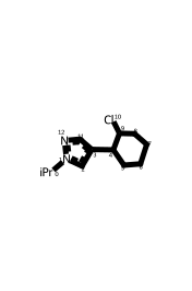 CC(C)n1cc(C2CCCCC2Cl)cn1